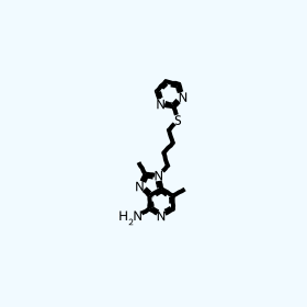 Cc1cnc(N)c2nc(C)n(CCCCSc3ncccn3)c12